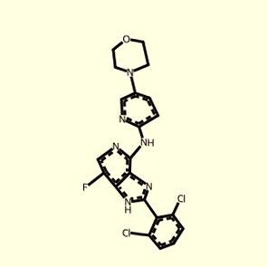 Fc1cnc(Nc2ccc(N3CCOCC3)cn2)c2nc(-c3c(Cl)cccc3Cl)[nH]c12